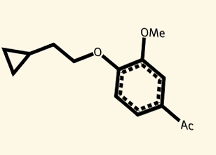 COc1cc(C(C)=O)ccc1OCCC1CC1